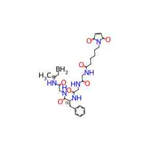 BC[C@@H](C)NC(=O)CNC(=O)[C@H](Cc1ccccc1)NC(=O)CNC(=O)CNC(=O)CCCCCN1C(=O)C=CC1=O